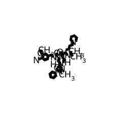 COc1cc(CNC(=O)[C@@H]2CN(C3=N[C@@H](C)[C@H](c4ccccc4)O3)CCN2C(=O)[C@@H](CCCCN2CCCCC2)NC(C)C)ccc1C#N